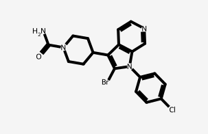 NC(=O)N1CCC(c2c(Br)n(-c3ccc(Cl)cc3)c3cnccc23)CC1